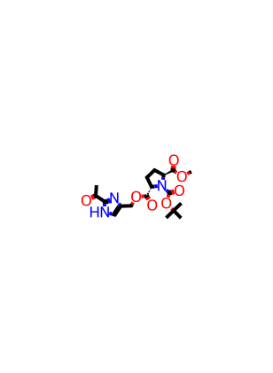 COC(=O)[C@@H]1CC[C@@H](C(=O)OCc2c[nH]c(C(C)=O)n2)N1C(=O)OC(C)(C)C